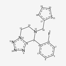 Fc1ccccc1C1c2nnnn2CCN1Cc1cccs1